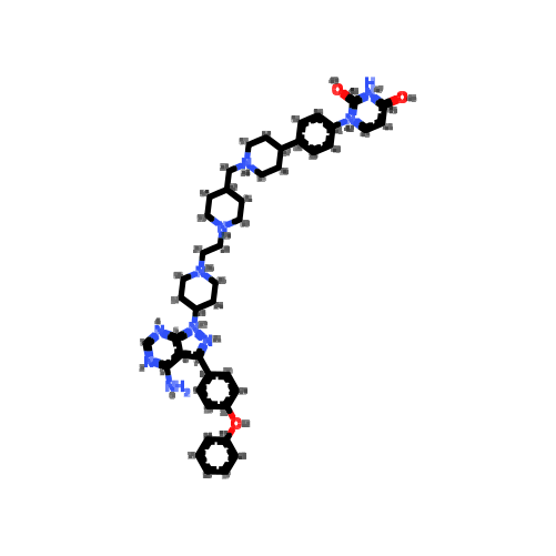 Nc1ncnc2c1c(-c1ccc(Oc3ccccc3)cc1)nn2C1CCN(CCN2CCC(CN3CCC(c4ccc(-n5ccc(=O)[nH]c5=O)cc4)CC3)CC2)CC1